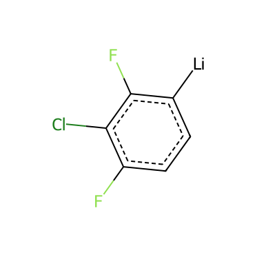 [Li][c]1ccc(F)c(Cl)c1F